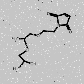 CC(O)COC(C)COCCN1C(=O)C=CC1=O